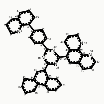 c1cnc2c(-c3ccc(-c4nc(-c5cc6ccccc6c6ccccc56)nc(-c5cc6cccnc6c6ncccc56)n4)cc3)cccc2c1